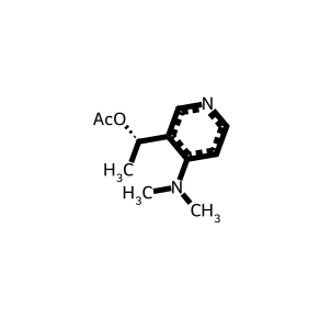 CC(=O)O[C@@H](C)c1cnccc1N(C)C